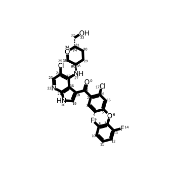 O=C(c1ccc(Oc2c(F)cccc2F)cc1Cl)c1c[nH]c2ncc(Cl)c(N[C@@H]3CC[C@@H](CO)OC3)c12